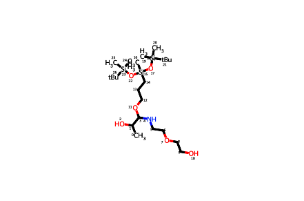 CC(O)C(NCCOCCO)OCCC[Si](C)(O[Si](C)(C)C(C)(C)C)O[Si](C)(C)C(C)(C)C